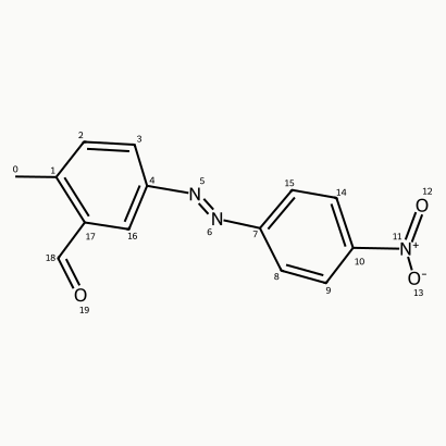 Cc1ccc(N=Nc2ccc([N+](=O)[O-])cc2)cc1C=O